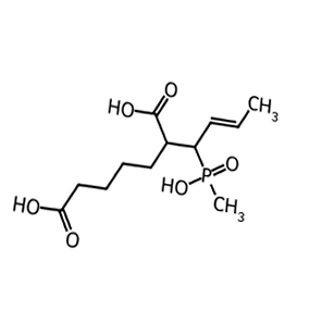 C/C=C/C(C(CCCCC(=O)O)C(=O)O)P(C)(=O)O